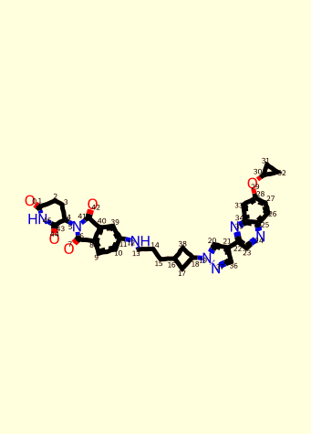 O=C1CCC(N2C(=O)c3ccc(NCCCC4CC(n5cc(-c6cnc7ccc(OC8CC8)cc7n6)cn5)C4)cc3C2=O)C(=O)N1